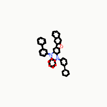 C1=CCC(N(c2cccc(-c3ccccc3)c2)c2cc3c(cc2N(c2ccccc2)c2cccc(-c4ccccc4)c2)oc2cc4ccccc4cc23)C=C1